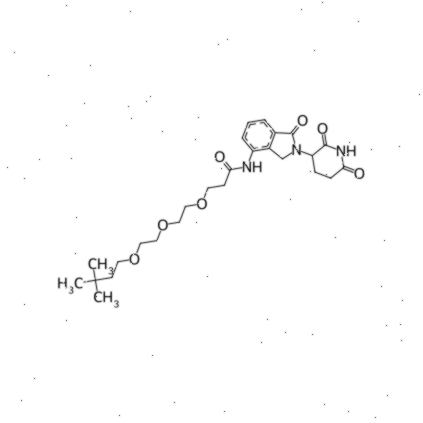 CC(C)(C)CCOCCOCCOCCC(=O)Nc1cccc2c1CN(C1CCC(=O)NC1=O)C2=O